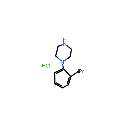 CC(C)c1ccccc1N1CCNCC1.Cl